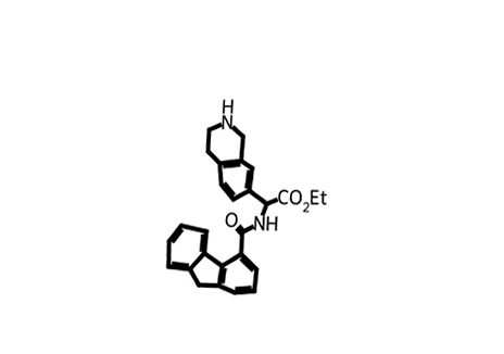 CCOC(=O)C(NC(=O)c1cccc2c1-c1ccccc1C2)c1ccc2c(c1)CNCC2